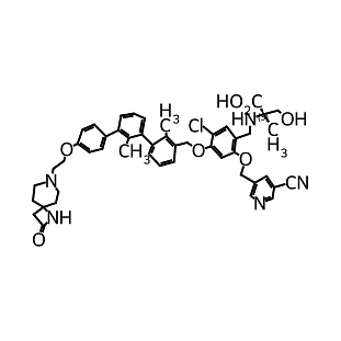 Cc1c(COc2cc(OCc3cncc(C#N)c3)c(CN[C@@](C)(CO)C(=O)O)cc2Cl)cccc1-c1cccc(-c2ccc(OCCN3CCC4(CC3)CC(=O)N4)cc2)c1C